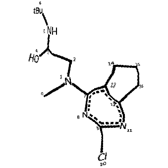 CN(CC(O)NC(C)(C)C)c1nc(Cl)nc2c1CCC2